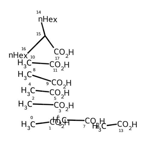 CC(=O)O.CC(=O)O.CC(=O)O.CC(=O)O.CC(=O)O.CC(=O)O.CC(=O)O.CCCCCCC(CCCCCC)C(=O)O